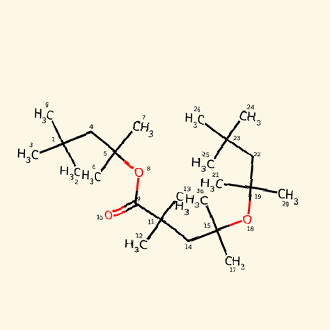 CC(C)(C)CC(C)(C)OC(=O)C(C)(C)CC(C)(C)OC(C)(C)CC(C)(C)C